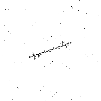 CCOCC(=O)NCCOCCOCCOCCOCCOCC(F)CNC(=O)C(C)C